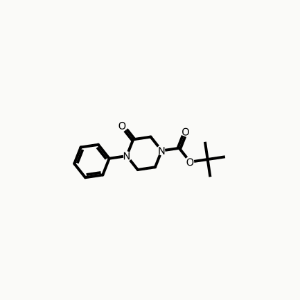 CC(C)(C)OC(=O)N1CCN(c2ccccc2)C(=O)C1